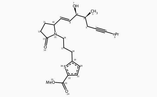 CCCC#CC[C@H](C)[C@H](O)C=CC1CCC(=O)N1CCCc1ccc(C(=O)OC)s1